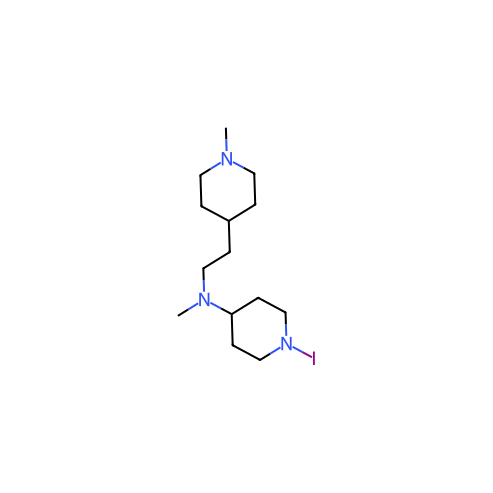 CN1CCC(CCN(C)C2CCN(I)CC2)CC1